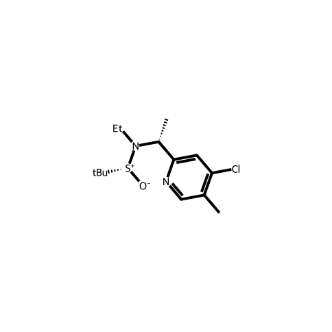 CCN([C@H](C)c1cc(Cl)c(C)cn1)[S@+]([O-])C(C)(C)C